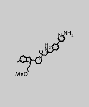 COCCCn1c(C2CCCN(C(=O)C[C@H](N)Cc3ccc(-c4ccc(N)nc4)cc3)C2)cc2ccc(C)cc21